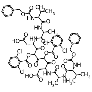 CC(C)[C@H](NC(=O)OCc1ccccc1)C(=O)N[C@@H](C)C(=O)N[C@@H](CC(=O)O)C(=O)C(OC(=O)c1c(Cl)cccc1Cl)C(=O)C(OC(=O)c1c(Cl)cccc1Cl)C(=O)[C@H](CC(=O)O)NC(=O)[C@H](C)NC(=O)[C@@H](NC(=O)OCc1ccccc1)C(C)C